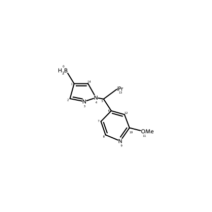 Bc1cnn(C(c2ccnc(OC)c2)C(C)C)c1